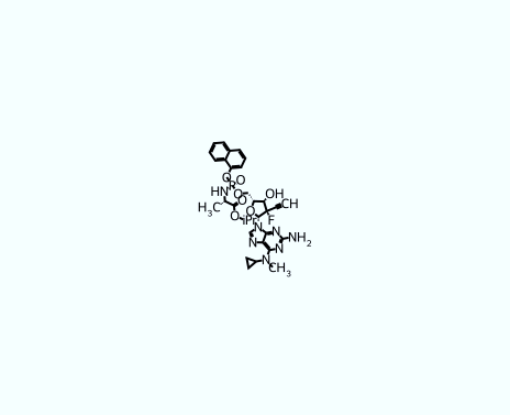 C#C[C@@]1(F)[C@H](O)[C@@H](CO[P@](=O)(N[C@@H](C)C(=O)OC(C)C)Oc2cccc3ccccc23)O[C@H]1n1cnc2c(N(C)C3CC3)nc(N)nc21